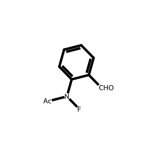 CC(=O)N(F)c1ccccc1C=O